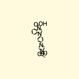 CCS(=O)(=O)N1CCN(c2ccc(N3CCN(C(=O)O)c4ccccc43)cc2)CC1